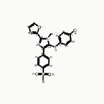 Cn1c(-c2ncco2)nc(-c2ccc(S(C)(=O)=O)cc2)c1Sc1ccc(Cl)cc1